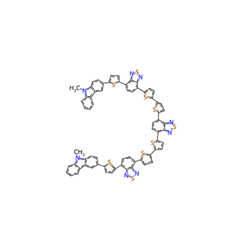 Cn1c2ccccc2c2cc(-c3ccc(-c4ccc(-c5ccc(-c6ccc(-c7ccc(-c8ccc(-c9ccc(-c%10ccc(-c%11ccc(-c%12ccc%13c(c%12)c%12ccccc%12n%13C)s%11)c%11nsnc%10%11)s9)s8)c8nsnc78)s6)s5)c5nsnc45)s3)ccc21